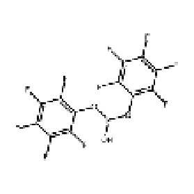 OP(Oc1c(F)c(F)c(F)c(F)c1F)Oc1c(F)c(F)c(F)c(F)c1F